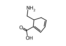 NCC1CC=CC=C1C(=O)O